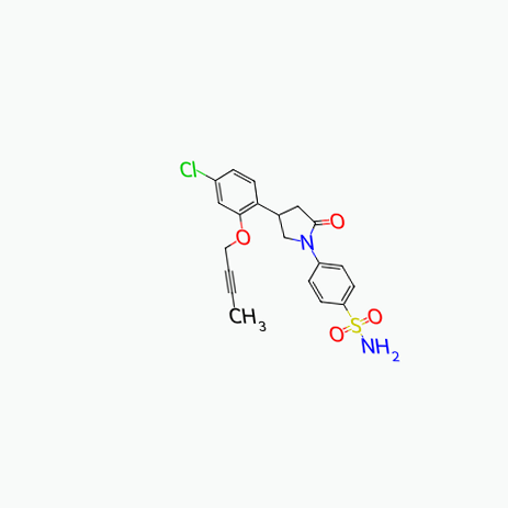 CC#CCOc1cc(Cl)ccc1C1CC(=O)N(c2ccc(S(N)(=O)=O)cc2)C1